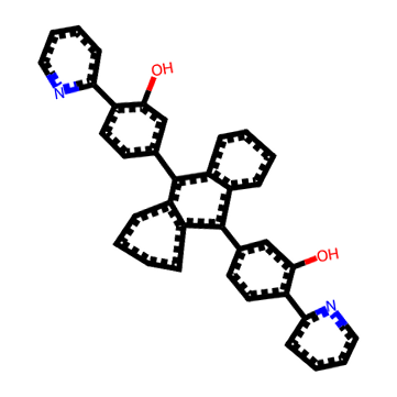 Oc1cc(-c2c3ccccc3c(-c3ccc(-c4ccccn4)c(O)c3)c3ccccc23)ccc1-c1ccccn1